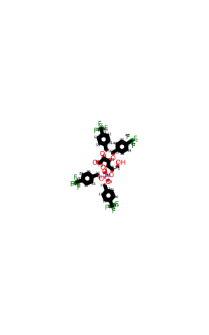 O=C1O[C@H]([C@H](CO)OP(=O)(OCc2ccc(C(F)(F)F)cc2)OCc2ccc(C(F)(F)F)cc2)C(OCc2ccc(C(F)(F)F)cc2)=C1OCc1ccc(C(F)(F)F)cc1